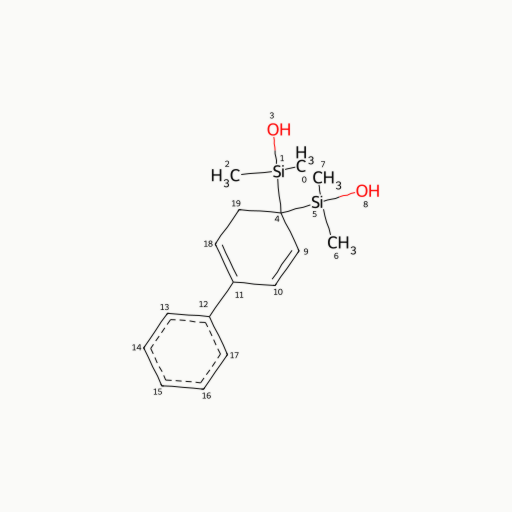 C[Si](C)(O)C1([Si](C)(C)O)C=CC(c2ccccc2)=CC1